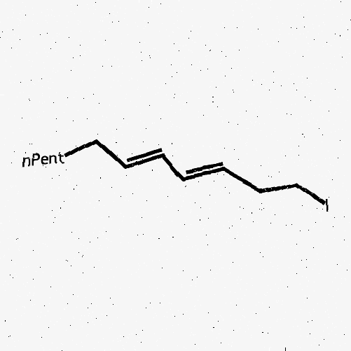 CCCCCCC=CC=CCCI